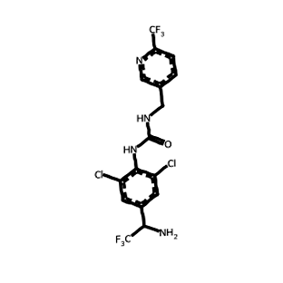 NC(c1cc(Cl)c(NC(=O)NCc2ccc(C(F)(F)F)nc2)c(Cl)c1)C(F)(F)F